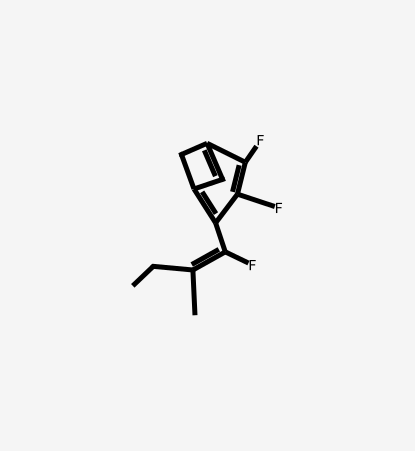 CC/C(C)=C(/F)c1c2cc(c(F)c1F)C2